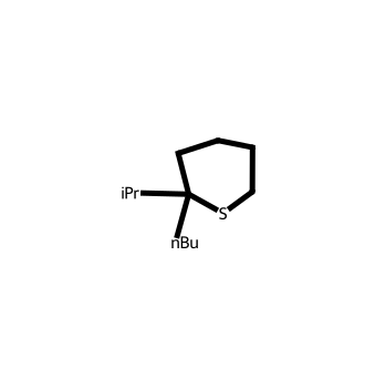 CCCCC1(C(C)C)CCCCS1